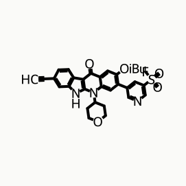 C#Cc1ccc2c(c1)[nH]c1c2c(=O)c2cc(OCC(C)C)c(-c3cncc(S(=O)(=O)F)c3)cc2n1C1CCOCC1